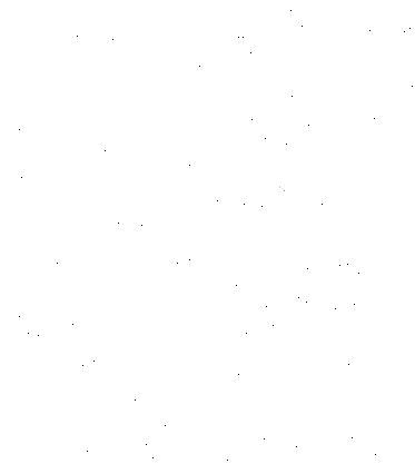 C(=C\c1cccs1)/c1cc[nH]c1